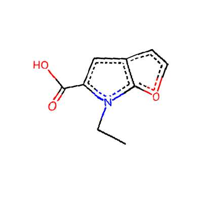 CCn1c(C(=O)O)cc2ccoc21